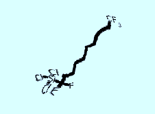 FC(F)(F)CCCCCCCCC(F)(F)[Si](Cl)(Cl)Cl